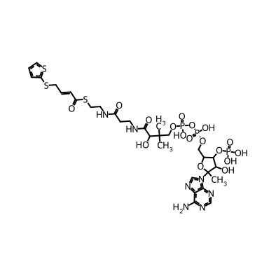 CC(C)(COP(=O)(O)OP(=O)(O)OCC1OC(C)(n2cnc3c(N)ncnc32)C(O)C1OP(=O)(O)O)C(O)C(=O)NCCC(=O)NCCSC(=O)C=CCSc1cccs1